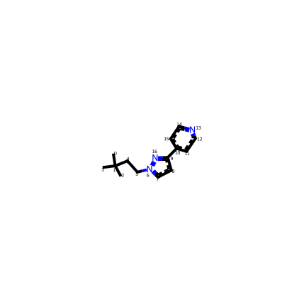 CC(C)(C)[CH]Cn1ccc(-c2ccncc2)n1